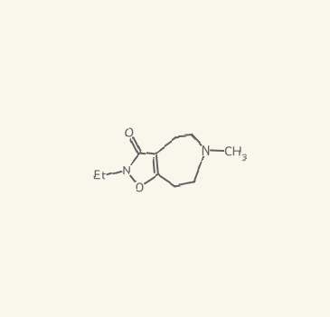 CCn1oc2c(c1=O)CCN(C)CC2